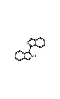 [c]1[nH]c(-c2occ3ccccc23)c2ccccc12